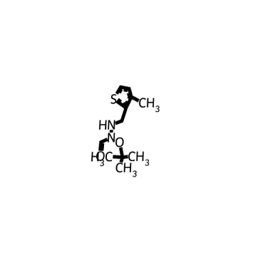 Cc1ccsc1CNN(C=O)OC(C)(C)C